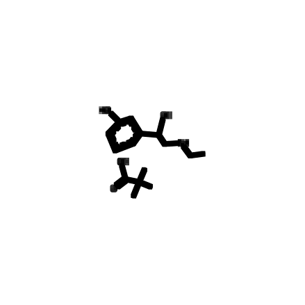 CC(C)(C)C(=O)O.CCNCC(O)c1cccc(O)c1